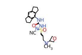 CN(C/C=C/S(=O)(=NC#N)NC(=O)Nc1c2c(cc3c1CCC3)CCC2)C1COC1